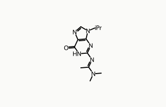 C/C(=N\c1nc2c(ncn2C(C)C)c(=O)[nH]1)N(C)C